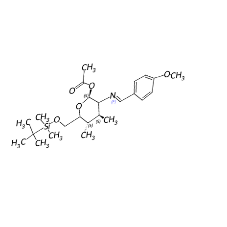 COc1ccc(/C=N/C2[C@H](OC(C)=O)OC(CO[Si](C)(C)C(C)(C)C)[C@@H](C)[C@@H]2C)cc1